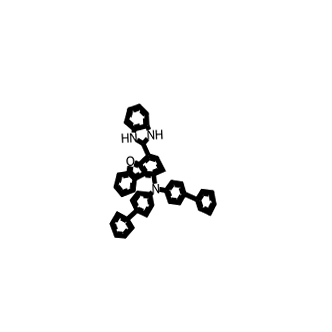 c1ccc(-c2ccc(N(c3ccc(-c4ccccc4)cc3)c3ccc(C4Nc5ccccc5N4)c4oc5ccccc5c34)cc2)cc1